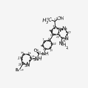 CC(O)c1cc(-c2ccc(NC(=O)Nc3cccc(Br)n3)cc2)c2c(N)ncnn12